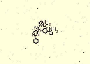 CCn1nccc1-c1nc2cnc(-c3ccccc3)nc2n1-c1ccc(C2(N)CCC2)cc1